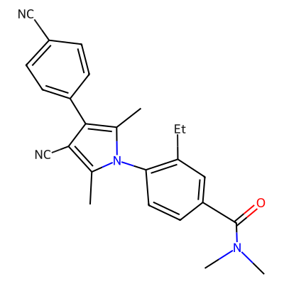 CCc1cc(C(=O)N(C)C)ccc1-n1c(C)c(C#N)c(-c2ccc(C#N)cc2)c1C